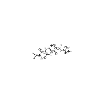 C[C@H](Cn1ncnn1)n1nnc2cc3c(cc2c1=O)OCN(C1CC1)C3=O